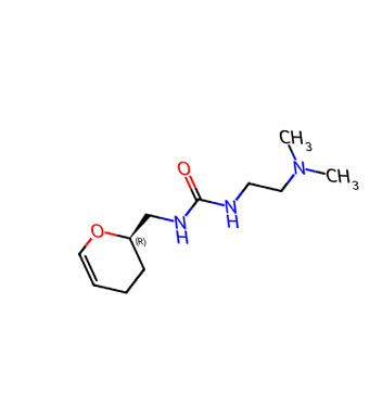 CN(C)CCNC(=O)NC[C@H]1CCC=CO1